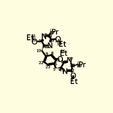 CCOC1=N[C@H](Cc2ccc(C[C@H]3N=C(OCC)[C@H](C(C)C)N=C3OCC)cc2)C(OCC)=N[C@H]1C(C)C